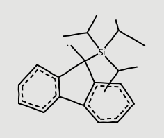 [CH2]C1([Si](C(C)C)(C(C)C)C(C)C)c2ccccc2-c2ccccc21